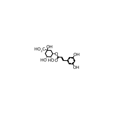 O=C(/C=C/c1cc(O)cc(O)c1)O[C@@H]1C[C@](O)(C(=O)O)C[C@@H](O)[C@H]1O